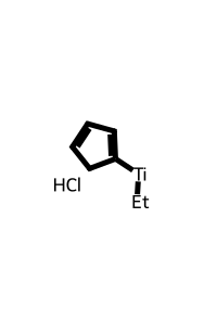 C[CH2][Ti][C]1=CC=CC1.Cl